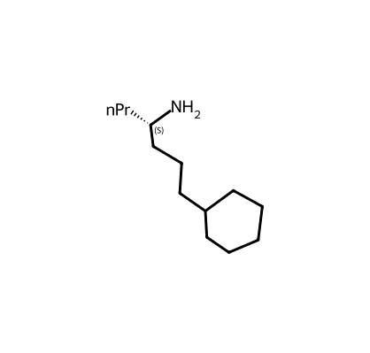 CCC[C@H](N)CCCC1CCCCC1